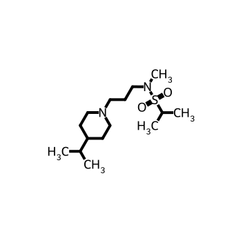 CC(C)C1CCN(CCCN(C)S(=O)(=O)C(C)C)CC1